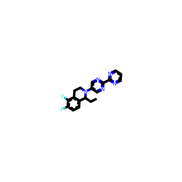 CCC1c2ccc(F)c(F)c2CCN1c1cnc(-c2ncccn2)nc1